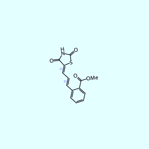 COC(=O)c1ccccc1/C=C/C=C1\SC(=O)NC1=O